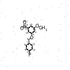 COc1cc(OCc2ccc(F)cc2)cc([N+](=O)[O-])c1